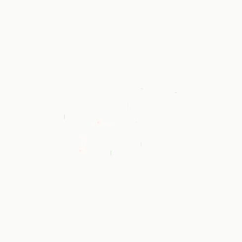 CCC(=O)OC(F)C(F)(F)C(F)C(F)F